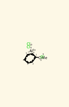 COc1ccccc1.[Al+3].[Cl-].[Cl-].[Cl-]